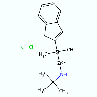 CC(C)(C)[NH][Zr+2][Si](C)(C)C1=Cc2ccccc2C1.[Cl-].[Cl-]